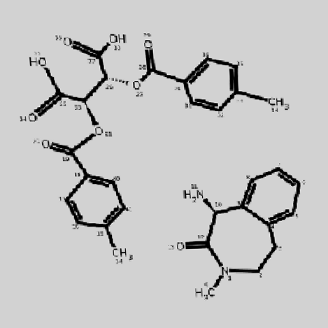 CN1CCc2ccccc2[C@H](N)C1=O.Cc1ccc(C(=O)O[C@@H](C(=O)O)[C@@H](OC(=O)c2ccc(C)cc2)C(=O)O)cc1